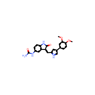 COc1ccc(-c2c[nH]c(C=C3C(=O)Nc4ccc(NC(N)=O)cc43)c2)cc1OC